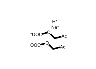 CC(=O)COC(=O)[O-].CC(=O)COC(=O)[O-].[H+].[Na+]